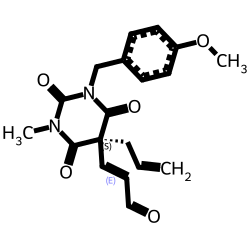 C=CC[C@]1(/C=C/C=O)C(=O)N(C)C(=O)N(Cc2ccc(OC)cc2)C1=O